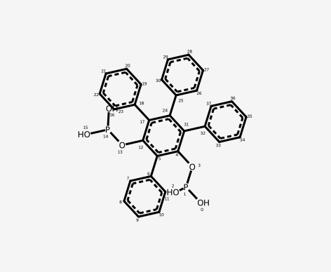 OP(O)Oc1c(-c2ccccc2)c(OP(O)O)c(-c2ccccc2)c(-c2ccccc2)c1-c1ccccc1